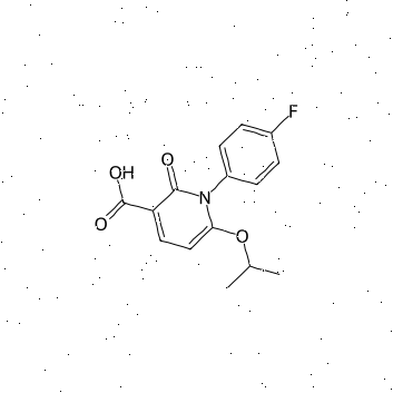 CC(C)Oc1ccc(C(=O)O)c(=O)n1-c1ccc(F)cc1